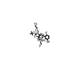 COCCOCN(C(=O)OC(C)(C)C)C1=N[C@](C)(c2cc(Br)ccc2F)C[SH](=O)(NCCF)C1(C)C